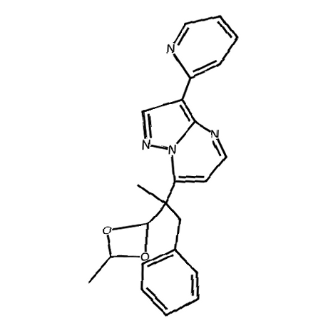 CC1OC(C(C)(Cc2ccccc2)c2ccnc3c(-c4ccccn4)cnn23)O1